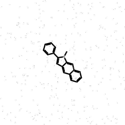 Cn1c(-c2ccccc2)cc2cc3ccccc3cc21